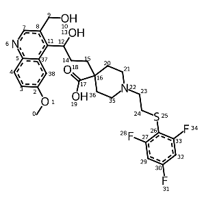 COc1ccc2ncc(CO)c(C(O)CCC3(C(=O)O)CCN(CCSc4c(F)cc(F)cc4F)CC3)c2c1